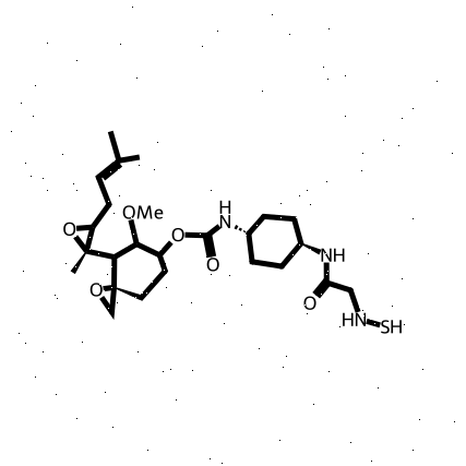 COC1C(OC(=O)N[C@H]2CC[C@H](NC(=O)CNS)CC2)CC[C@]2(CO2)C1[C@]1(C)OC1CC=C(C)C